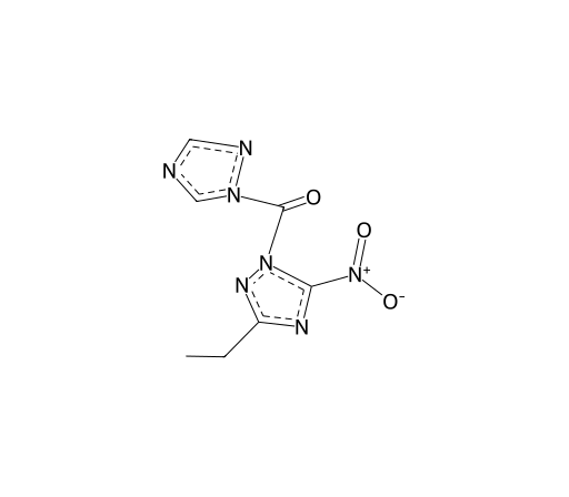 CCc1nc([N+](=O)[O-])n(C(=O)n2cncn2)n1